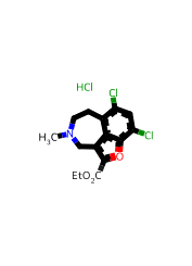 CCOC(=O)c1oc2c(Cl)cc(Cl)c3c2c1CN(C)CC3.Cl